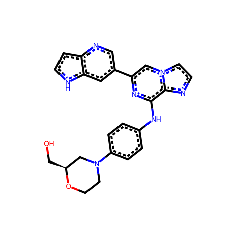 OC[C@H]1CN(c2ccc(Nc3nc(-c4cnc5cc[nH]c5c4)cn4ccnc34)cc2)CCO1